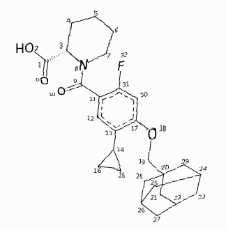 O=C(O)[C@@H]1CCCCN1C(=O)c1cc(C2CC2)c(OCC23CC4CC(CC(C4)C2)C3)cc1F